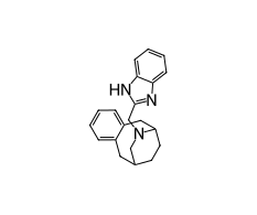 c1ccc2c(c1)CC1CCC(C2)N(Cc2nc3ccccc3[nH]2)C1